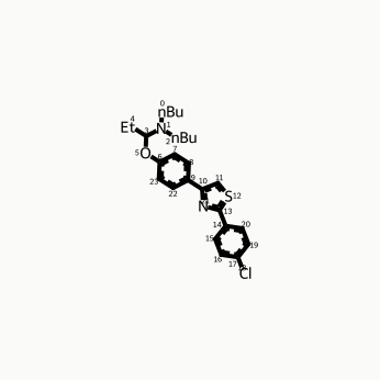 CCCCN(CCCC)C(CC)Oc1ccc(-c2csc(-c3ccc(Cl)cc3)n2)cc1